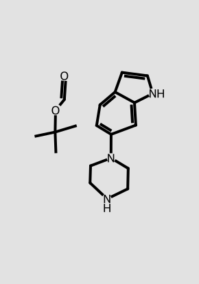 CC(C)(C)OC=O.c1cc2ccc(N3CCNCC3)cc2[nH]1